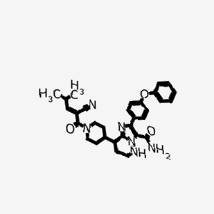 CC(C)/C=C(\C#N)C(=O)N1CCC(C2CCNn3c2nc(-c2ccc(Oc4ccccc4)cc2)c3C(N)=O)CC1